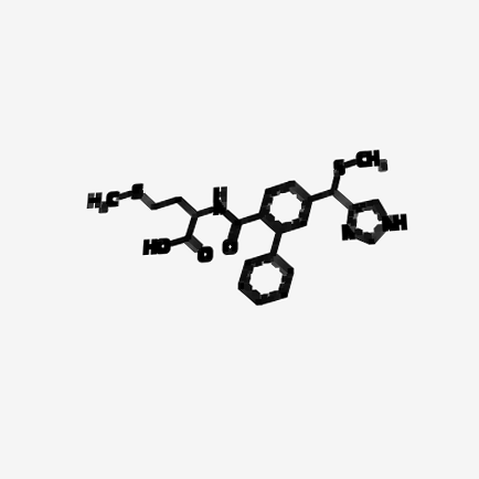 CSCCC(NC(=O)c1ccc(C(SC)c2c[nH]cn2)cc1-c1ccccc1)C(=O)O